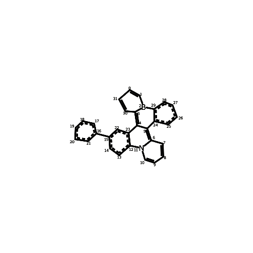 C1=CB2C(=C3C(=C4C=CC=CN4c4ccc(-c5ccccc5)cc43)c3ccccc32)C=C1